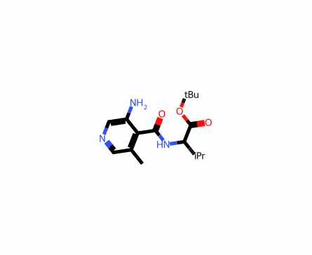 Cc1cncc(N)c1C(=O)NC(C(=O)OC(C)(C)C)C(C)C